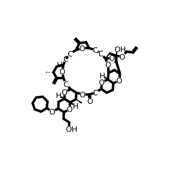 C=CCO[C@@]1(O)C[C@]23CCC4CC(=C)C(CC[C@H]5C[C@@H](C)C(=C)C(CC6O[C@H]7CC(OC8CCCCCC8)C(CCO)O[C@H]7[C@H](C)C6OC(=O)CC6CCC7OC(CC(O2)[C@H]7O6)C1O3)O5)O4